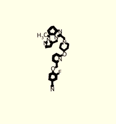 CCn1nccc1Cn1c(CN2CCC(Oc3cccc(COc4ccc(C#N)cc4F)n3)CC2)nc2ccccc21